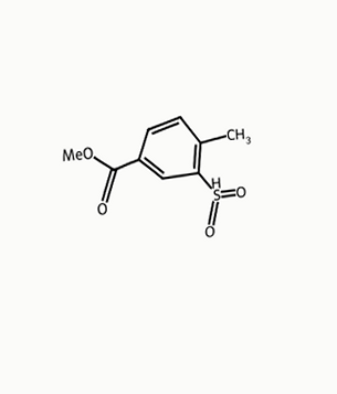 COC(=O)c1ccc(C)c([SH](=O)=O)c1